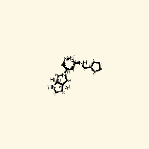 c1nnc(NCC2CCCC2)cc1N1C[C@H]2CCN[C@H]2C1